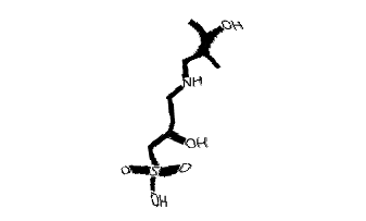 CC(C)(O)CNCC(O)CS(=O)(=O)O